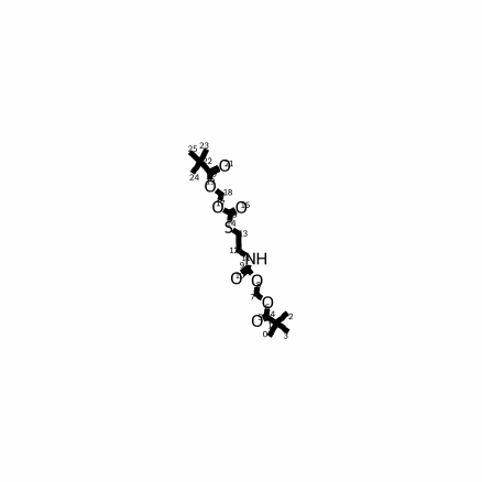 CC(C)(C)C(=O)OCOC(=O)NCCSC(=O)OCOC(=O)C(C)(C)C